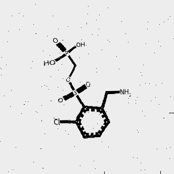 NCc1cccc(Cl)c1S(=O)(=O)OCP(=O)(O)O